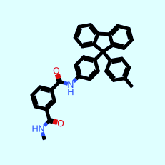 CNC(=O)c1cccc(C(=O)Nc2ccc(C3(c4ccc(C)cc4)c4ccccc4-c4ccccc43)cc2)c1